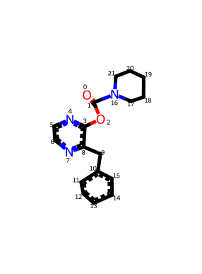 O=C(Oc1nccnc1Cc1ccccc1)N1CCCCC1